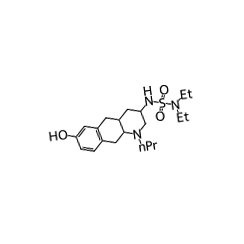 CCCN1CC(NS(=O)(=O)N(CC)CC)CC2Cc3cc(O)ccc3CC21